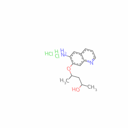 CC(O)CC(C)Oc1cc2ncccc2cc1N.Cl.Cl